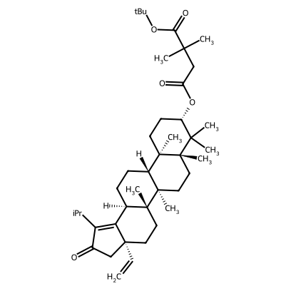 C=C[C@@]12CC[C@]3(C)[C@H](CC[C@@H]4[C@@]5(C)CC[C@H](OC(=O)CC(C)(C)C(=O)OC(C)(C)C)C(C)(C)[C@]5(C)CC[C@]43C)C1=C(C(C)C)C(=O)C2